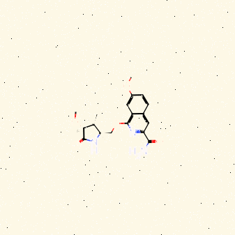 COc1ccc2cc(C(N)=O)nc(OC[C@H]3NC(=O)[C@H](OC)[C@H]3C)c2c1